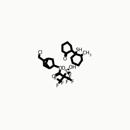 CC1CCCCC1(S)C1CCCCC1=O.O=C(OC1CC2CC1CC2CCl)C(C(F)(F)F)(C(F)(F)F)S(=O)(=O)O